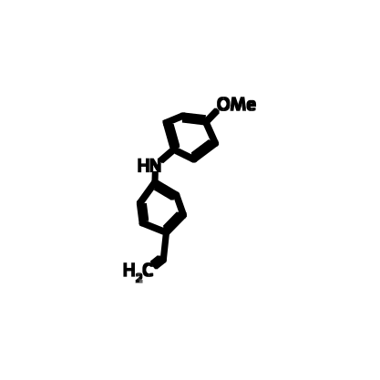 C=Cc1ccc(Nc2ccc(OC)cc2)cc1